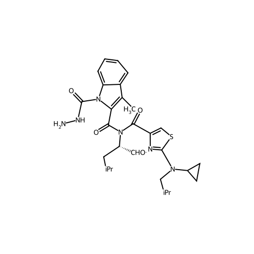 Cc1c(C(=O)N(C(=O)c2csc(N(CC(C)C)C3CC3)n2)[C@H]([C]=O)CC(C)C)n(C(=O)NN)c2ccccc12